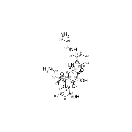 C[C@@H]1CO[C@H](O[C@@H]2[C@@H](O)[C@H](O[C@@H]3CCC=C(CNCCCN)O3)[C@@H](N)C[C@H]2NS(=O)(=O)CCN)[C@H](O)C1